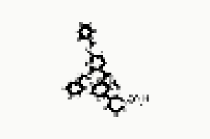 Cn1nc(-c2ccc(OCc3ccccc3)nc2OCc2ccccc2)c2cccc(C3CCCN(C(=O)O)C3)c21